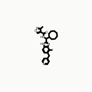 Cc1nocc1C(=O)NC(c1nc2c(F)c(Cc3ccncc3)ccc2[nH]1)C1CCCCCCC1